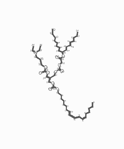 CCCCC/C=C\C/C=C\CCCCCCCCOC(=O)OCC(COC(=O)OCCCN(CC)CC)COC(=O)OCC(=O)OC(CCCCCCCC)CCCCCCCC